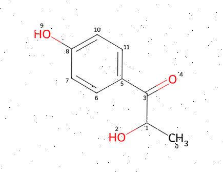 CC(O)C(=O)c1ccc(O)cc1